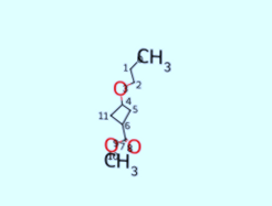 CCCOC1CC(C(=O)OC)C1